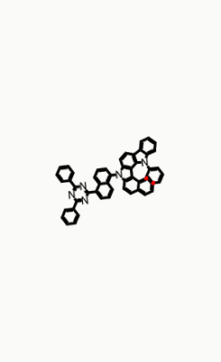 c1ccc(-c2nc(-c3ccccc3)nc(-c3cccc4c(-n5c6ccc7ccccc7c6c6c5ccc5c7ccccc7n(-c7ccccc7)c56)cccc34)n2)cc1